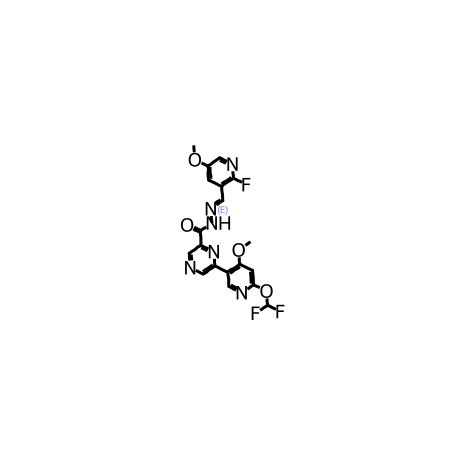 COc1cnc(F)c(/C=N/NC(=O)c2cncc(-c3cnc(OC(F)F)cc3OC)n2)c1